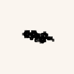 Cc1c(-c2cccc3c2OCCN3C)cc2cnn(-c3ncccn3)c(=O)n12